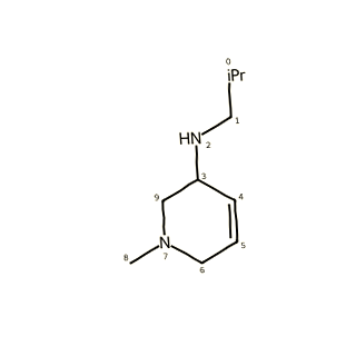 CC(C)CNC1C=CCN(C)C1